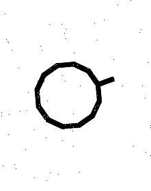 CC1CCCCCCCCCCC1